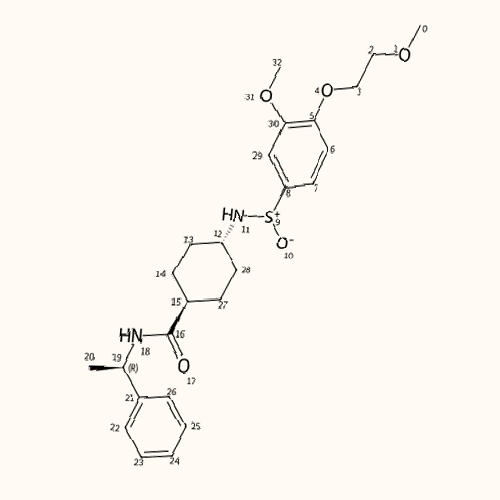 COCCOc1ccc([S+]([O-])N[C@H]2CC[C@H](C(=O)N[C@H](C)c3ccccc3)CC2)cc1OC